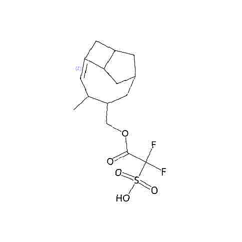 CC1/C=C2/CC3CC(CC1COC(=O)C(F)(F)S(=O)(=O)O)CC23